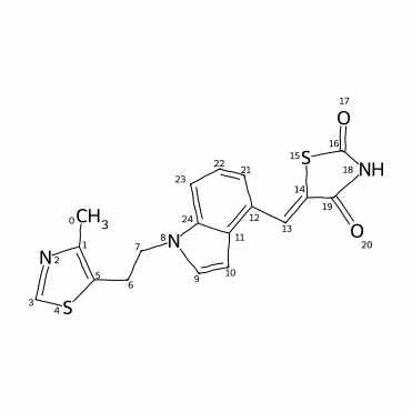 Cc1ncsc1CCn1ccc2c(/C=C3\SC(=O)NC3=O)cccc21